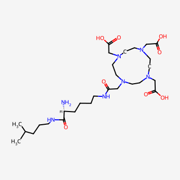 CC(C)CCCNC(=O)[C@H](N)CCCCNC(=O)CN1CCN(CC(=O)O)CCN(CC(=O)O)CCN(CC(=O)O)CC1